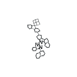 c1ccc2c(c1)-c1cc(-c3ccc4c(c3)c3ccc5ccccc5c3n4-c3nc(-c4cccc5ccccc45)c4ccccc4n3)ccc1C21C2CC3CC4CC1C342